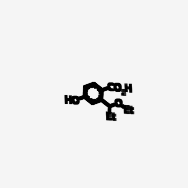 CCOC(CC)c1cc(O)ccc1C(=O)O